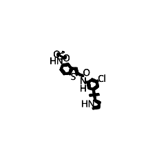 CC(C)(c1cc(Cl)cc(NC(=O)c2cc3cc(NS(C)(=O)=O)ccc3s2)c1)c1ccc[nH]1